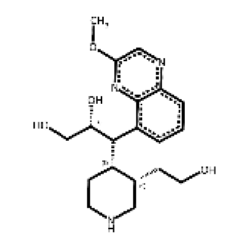 COc1cnc2cccc(C([C@H]3CCNC[C@H]3CCO)[C@@H](O)CO)c2n1